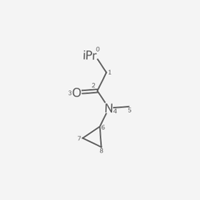 CC(C)CC(=O)N(C)C1CC1